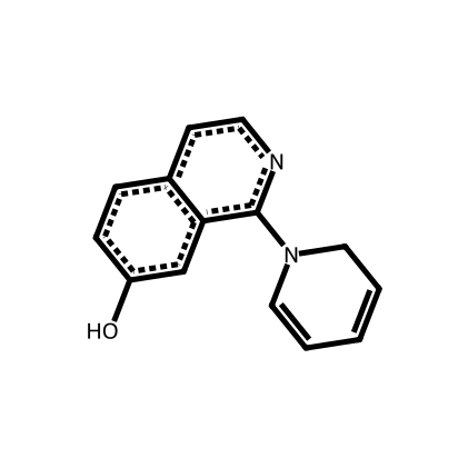 Oc1ccc2ccnc(N3C=CC=CC3)c2c1